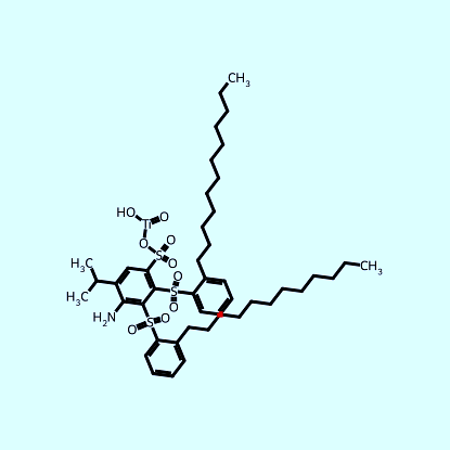 CCCCCCCCCCCCc1ccccc1S(=O)(=O)c1c(S(=O)(=O)[O][Ti](=[O])[OH])cc(C(C)C)c(N)c1S(=O)(=O)c1ccccc1CCCCCCCCCCCC